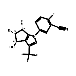 N#Cc1cc(-n2cc(C(F)(F)F)c3c2[C@@H](F)[C@@H](F)[C@@H]3O)ccc1F